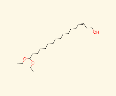 CCOC(CCCCCCCCCCCC/C=C\CCO)OCC